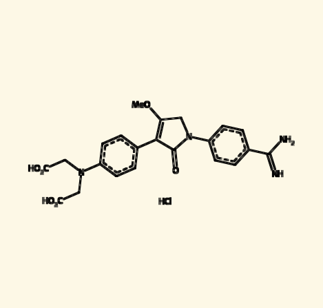 COC1=C(c2ccc(N(CC(=O)O)CC(=O)O)cc2)C(=O)N(c2ccc(C(=N)N)cc2)C1.Cl